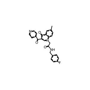 Cc1ccc2c(c1)c(=O)c(C(=O)c1ccncc1)cn2CC(=O)NCc1ccc(F)cc1